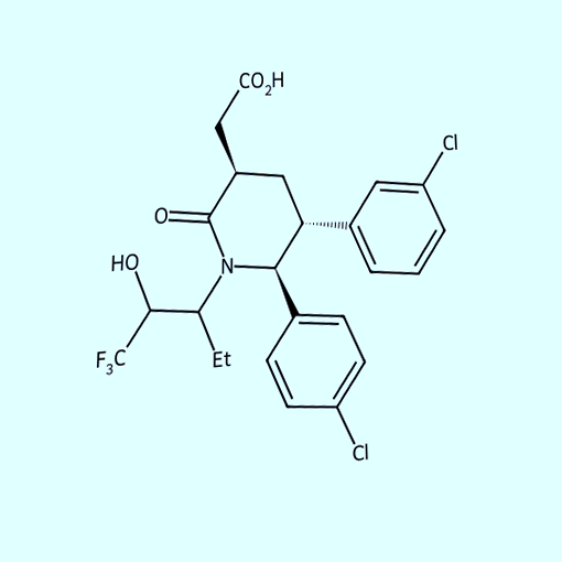 CCC(C(O)C(F)(F)F)N1C(=O)[C@@H](CC(=O)O)C[C@H](c2cccc(Cl)c2)[C@H]1c1ccc(Cl)cc1